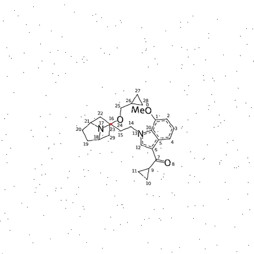 COc1cccc2c(C(=O)C3CC3)cn(CCCN3C4CCC3CC(OCC3CC3)C4)c12